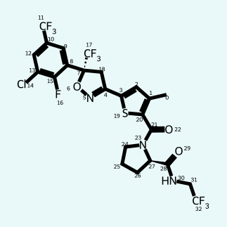 Cc1cc(C2=NO[C@](c3cc(C(F)(F)F)cc(Cl)c3F)(C(F)(F)F)C2)sc1C(=O)N1CCC[C@@H]1C(=O)NCC(F)(F)F